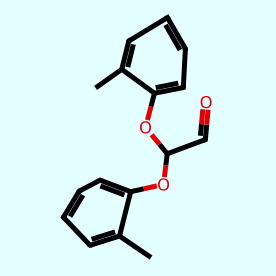 Cc1ccccc1OC(C=O)Oc1ccccc1C